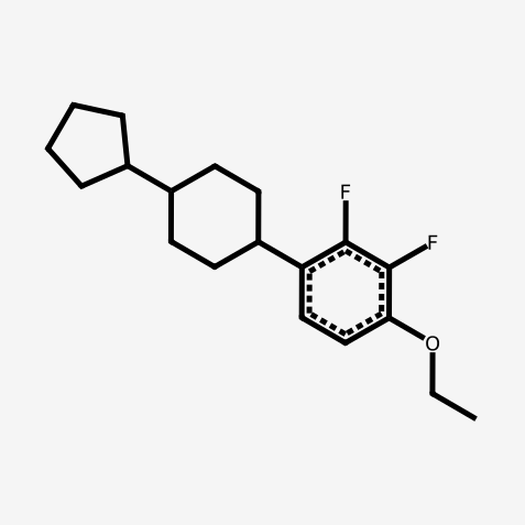 CCOc1ccc(C2CCC(C3CCCC3)CC2)c(F)c1F